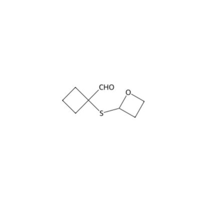 O=CC1(SC2CCO2)CCC1